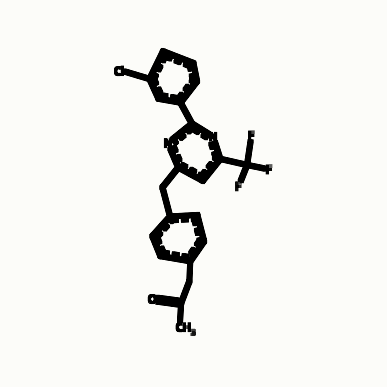 CC(=O)Cc1ccc(Cc2cc(C(F)(F)F)nc(-c3cccc(Cl)c3)n2)cc1